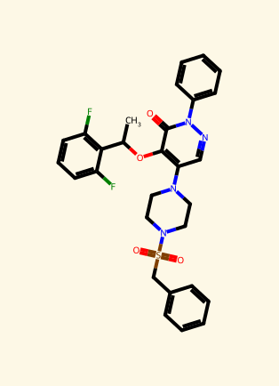 CC(Oc1c(N2CCN(S(=O)(=O)Cc3ccccc3)CC2)cnn(-c2ccccc2)c1=O)c1c(F)cccc1F